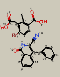 Cc1c(C(=O)O)ccc(Br)c1C(=O)O.N#Cc1[nH]c(=O)c2ccccc2c1-c1ccccc1